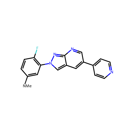 CNc1ccc(F)c(-n2cc3cc(-c4ccncc4)cnc3n2)c1